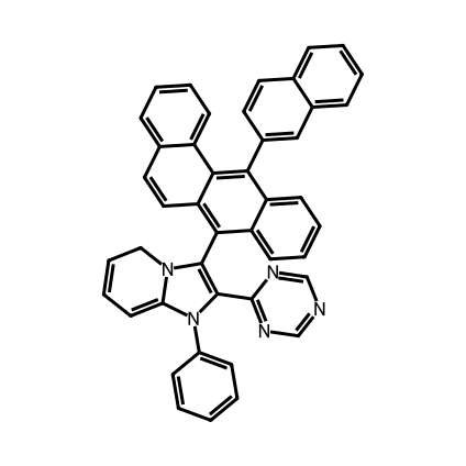 C1=CCN2C(=C1)N(c1ccccc1)C(c1ncncn1)=C2c1c2ccccc2c(-c2ccc3ccccc3c2)c2c1ccc1ccccc12